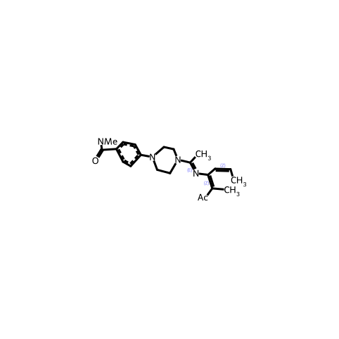 C\C=C/C(/N=C(\C)N1CCN(c2ccc(C(=O)NC)cc2)CC1)=C(\C)C(C)=O